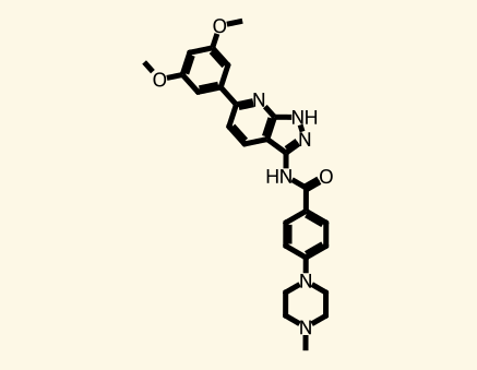 COc1cc(OC)cc(-c2ccc3c(NC(=O)c4ccc(N5CCN(C)CC5)cc4)n[nH]c3n2)c1